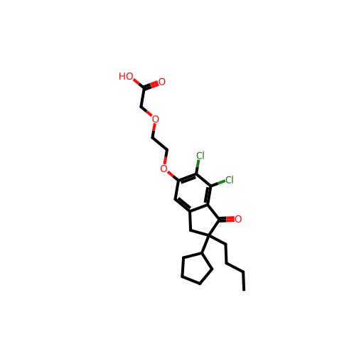 CCCCC1(C2CCCC2)Cc2cc(OCCOCC(=O)O)c(Cl)c(Cl)c2C1=O